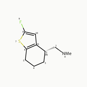 CNC[C@@H]1CCCc2sc(F)cc21